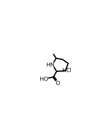 CC1CCCC(C(=O)O)N1.Cl